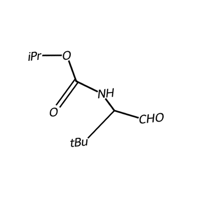 CC(C)OC(=O)NC(C=O)C(C)(C)C